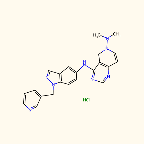 CN(C)N1C=Cc2ncnc(Nc3ccc4c(cnn4Cc4cccnc4)c3)c2C1.Cl